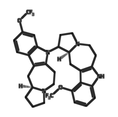 FC(F)(F)Oc1ccc2c3c(n(C4CCN5CCc6[nH]c7cccc(OC(F)(F)F)c7c6C[C@@H]45)c2c1)CCN1CCC[C@H]1C3